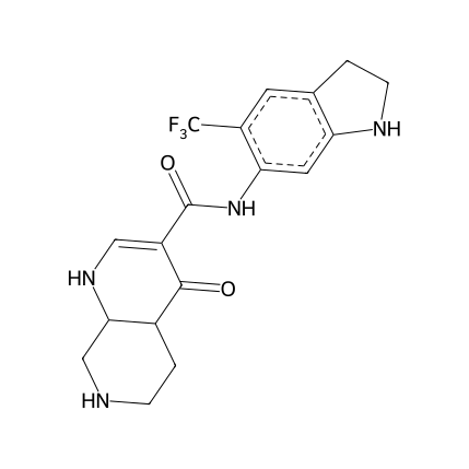 O=C(Nc1cc2c(cc1C(F)(F)F)CCN2)C1=CNC2CNCCC2C1=O